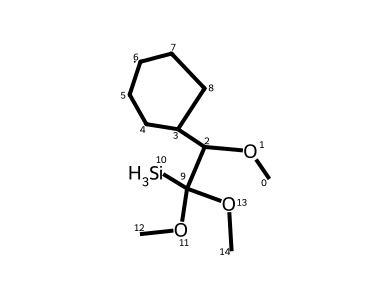 COC(C1CC[CH]CC1)C([SiH3])(OC)OC